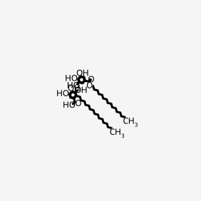 CCCCCCCCCCCCCCCCOC(=O)c1cc(O)c(O)c(O)c1.CCCCCCCCCCCCCCCCc1c(C(=O)O)cc(O)c(O)c1O